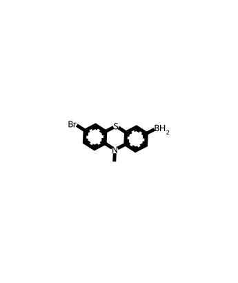 Bc1ccc2c(c1)Sc1cc(Br)ccc1N2C